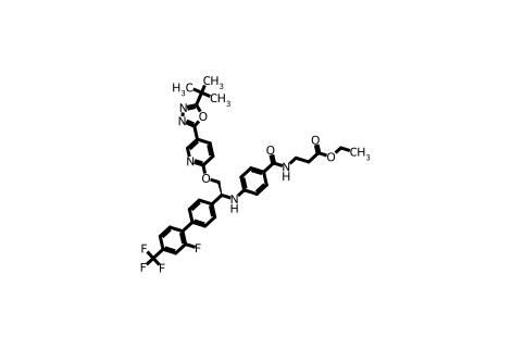 CCOC(=O)CCNC(=O)c1ccc(N[C@H](COc2ccc(-c3nnc(C(C)(C)C)o3)cn2)c2ccc(-c3ccc(C(F)(F)F)cc3F)cc2)cc1